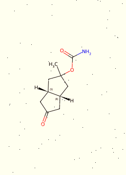 CC1(OC(N)=O)C[C@H]2CC(=O)C[C@H]2C1